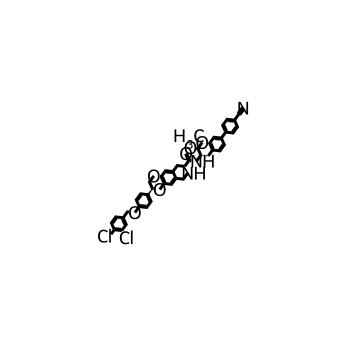 COC(=O)[C@H](Cc1ccc(-c2ccc(C#N)cc2)cc1)NC(=O)C1Cc2cc3c(cc2CN1)O[C@@H](c1ccc(OCc2ccc(Cl)c(Cl)c2)cc1)CO3